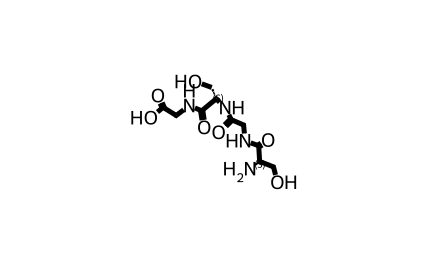 N[C@@H](CO)C(=O)NCC(=O)N[C@@H](CO)C(=O)NCC(=O)O